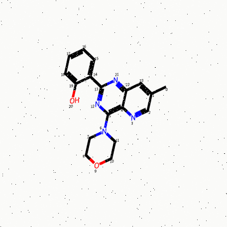 Cc1cnc2c(N3CCOCC3)nc(-c3ccccc3O)nc2c1